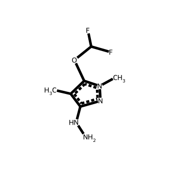 Cc1c(NN)nn(C)c1OC(F)F